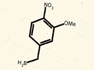 BCc1ccc([N+](=O)[O-])c(OC)c1